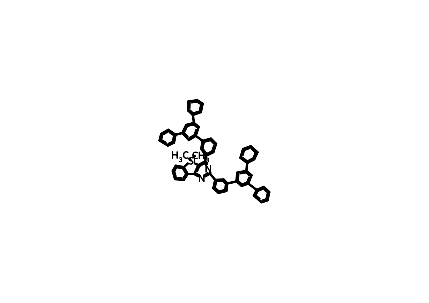 C[Si]1(C)c2ccccc2-c2nc(-c3cccc(-c4cc(-c5ccccc5)cc(-c5ccccc5)c4)c3)nc(-c3cccc(-c4cc(-c5ccccc5)cc(-c5ccccc5)c4)c3)c21